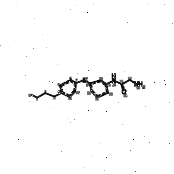 CCCCc1ccc(Sc2cccc(NC(=O)CN)c2)cc1